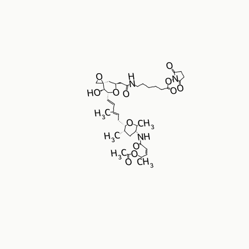 CC(=O)O[C@@H](C)/C=C\C(=O)N[C@@H]1C[C@H](C)[C@H](C/C=C(C)/C=C/[C@H]2O[C@H](CC(=O)NCCCCCC(=O)ON3C(=O)CCC3=O)C[C@@]3(CO3)[C@@H]2O)O[C@@H]1C